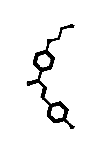 O=C(C=Cc1ccc(Br)cc1)c1ccc(OCCBr)cc1